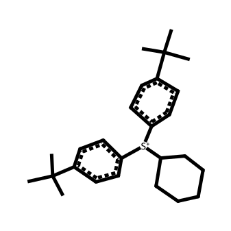 CC(C)(C)c1ccc([S+](c2ccc(C(C)(C)C)cc2)C2CCCCC2)cc1